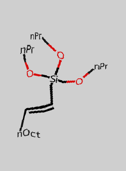 CCCCCCCCC=C[Si](OCCC)(OCCC)OCCC